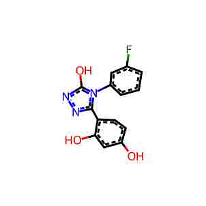 Oc1ccc(-c2nnc(O)n2-c2cccc(F)c2)c(O)c1